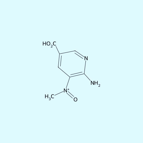 C[N+](=O)c1cc(C(=O)O)cnc1N